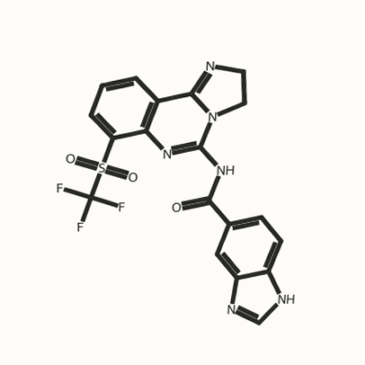 O=C(NC1=Nc2c(cccc2S(=O)(=O)C(F)(F)F)C2=NCCN12)c1ccc2[nH]cnc2c1